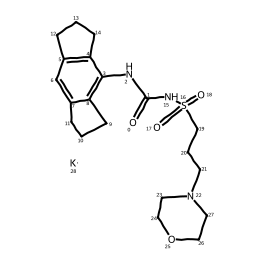 O=C(Nc1c2c(cc3c1CCC3)CCC2)NS(=O)(=O)CCCN1CCOCC1.[K]